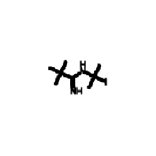 CC(C)(I)NC(=N)C(C)(C)C